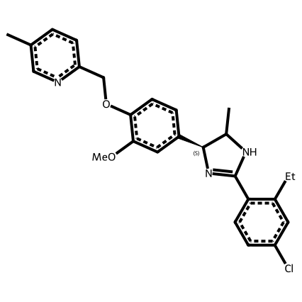 CCc1cc(Cl)ccc1C1=N[C@@H](c2ccc(OCc3ccc(C)cn3)c(OC)c2)C(C)N1